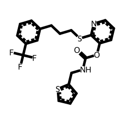 O=C(NCc1cccs1)Oc1cccnc1SCCCc1cccc(C(F)(F)F)c1